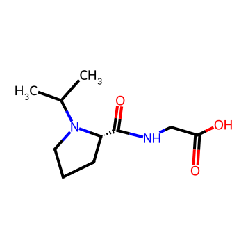 CC(C)N1CCC[C@H]1C(=O)NCC(=O)O